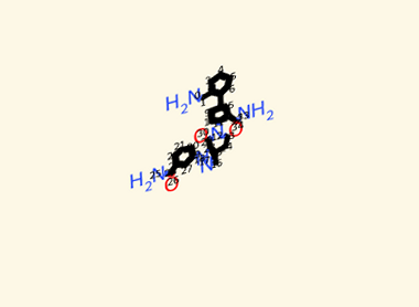 NCc1ccccc1-c1ccc(N2CCc3cnn(-c4cccc(C(N)=O)c4)c3C2=O)c(C(N)=O)c1